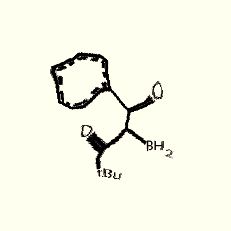 BC(C(=O)c1ccccc1)C(=O)C(C)(C)C